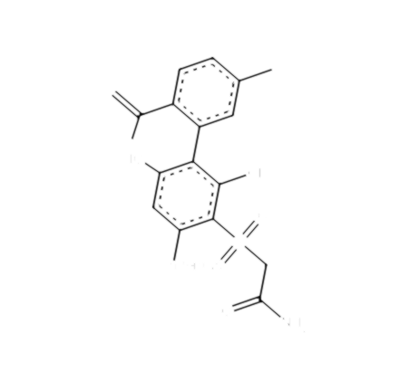 C=C(C)c1ccc(C)cc1-c1c(O)cc(CCCCC)c(S(=O)(=O)CC(N)=O)c1O